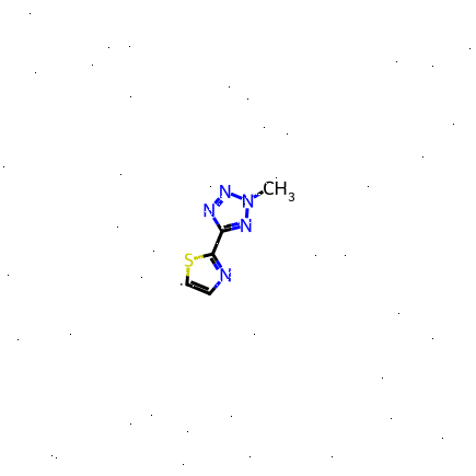 Cn1nnc(-c2nc[c]s2)n1